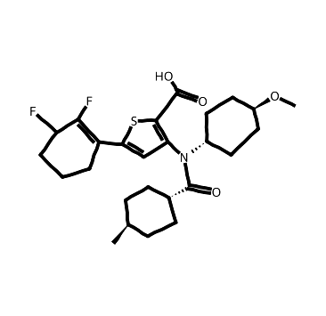 CO[C@H]1CC[C@H](N(c2cc(C3=C(F)C(F)CCC3)sc2C(=O)O)C(=O)[C@H]2CC[C@H](C)CC2)CC1